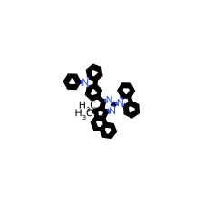 CC1(C)c2ccc3ccccc3c2-c2nc(-n3c4ccccc4c4ccccc43)nc(-c3ccc4c(c3)c3ccccc3n4-c3ccccc3)c21